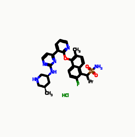 Cc1ccc2c(C(C(C)C)S(N)(=O)=O)c(F)ccc2c1Oc1ncccc1-c1ccnc(N[C@@H]2CNC[C@@H](C)C2)n1.Cl